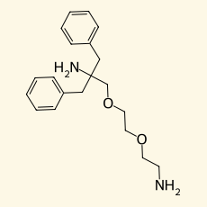 NCCOCCOCC(N)(Cc1ccccc1)Cc1ccccc1